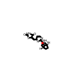 NCC1[C@@H]2CC[C@H]1CN(c1nccc(/C=C3/SC(=O)NC3=O)n1)C2